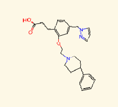 O=C(O)CCc1ccc(Cn2cccn2)cc1OCCN1CCC(c2ccccc2)CC1